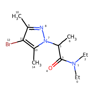 CCN(CC)C(=O)C(C)n1nc(C)c(Br)c1C